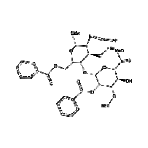 CCCCO[C@@H]1C(OC(=O)c2ccccc2)[C@H](O[C@@H]2C(COC(=O)c3ccccc3)O[C@H](OC)C(N=[N+]=[N-])[C@H]2OCCCC)OC(C(=O)OC)[C@H]1O